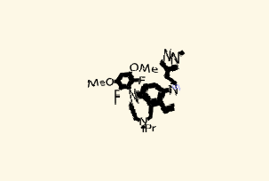 C=Cc1c(/N=C\Cc2cnn(C)c2)ccc2c1CN(C(C)C)CCN2c1c(F)c(OC)cc(OC)c1F